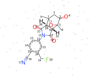 CC12CC(=O)C(C)(O1)[C@@H]1C(=O)N(c3ccc(C#N)c(CF)c3)C(=O)[C@@H]12